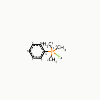 CP(C)(C)(F)c1ccccc1